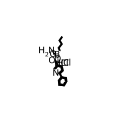 CCCCCB(ON)OC(=O)c1ccc(-c2ccccc2)nc1.Cl.Cl